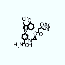 CC(=O)OC(CC(=O)OC1CC1Nc1cc(-n2cc(C)c3c2CCCC3=O)ccc1C(N)=O)C[N+](C)(C)C.[Cl-]